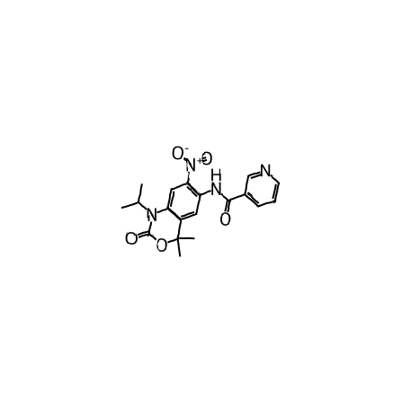 CC(C)N1C(=O)OC(C)(C)c2cc(NC(=O)c3cccnc3)c([N+](=O)[O-])cc21